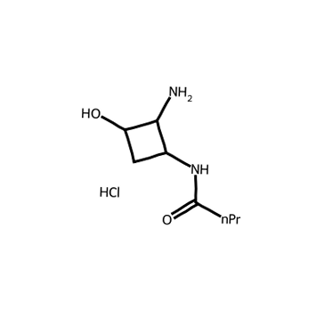 CCCC(=O)NC1CC(O)C1N.Cl